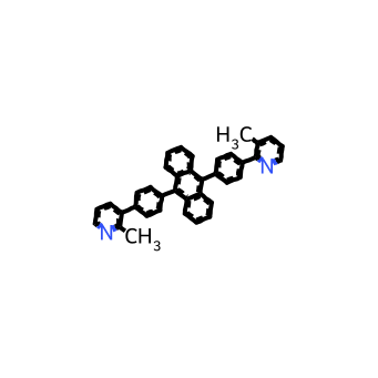 Cc1cccnc1-c1ccc(-c2c3ccccc3c(-c3ccc(-c4cccnc4C)cc3)c3ccccc23)cc1